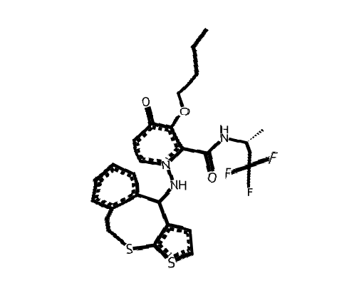 CCCCOc1c(C(=O)N[C@H](C)C(F)(F)F)n(NC2c3ccccc3CSc3sccc32)ccc1=O